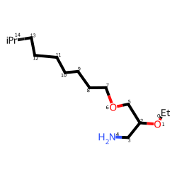 CCOC(CN)COCCCCCCCC(C)C